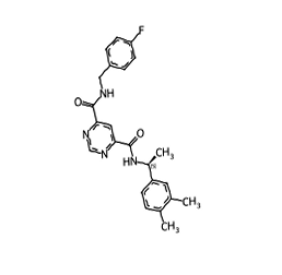 Cc1ccc([C@H](C)NC(=O)c2cc(C(=O)NCc3ccc(F)cc3)ncn2)cc1C